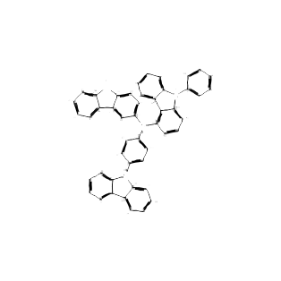 c1ccc(-n2c3ccccc3c3c(N(c4ccc(-n5c6ccccc6c6ccccc65)cc4)c4ccc5oc6ccccc6c5c4)cccc32)cc1